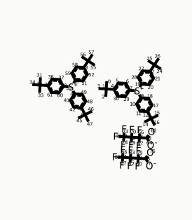 CC(C)(C)c1ccc([S+](c2ccc(C(C)(C)C)cc2)c2ccc(C(C)(C)C)cc2)cc1.CC(C)(C)c1ccc([S+](c2ccc(C(C)(C)C)cc2)c2ccc(C(C)(C)C)cc2)cc1.O=C([O-])C(F)(F)C(F)(F)C(F)(F)F.O=C([O-])C(F)(F)C(F)(F)C(F)(F)F